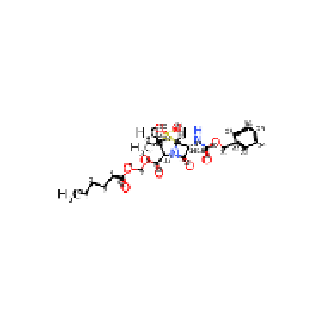 CCCCCC(=O)OCOC(=O)[C@@H]1N2C(=O)[C@@H](NC(=O)OCc3ccccc3)[C@H]2S(=O)(=O)C1(C)C